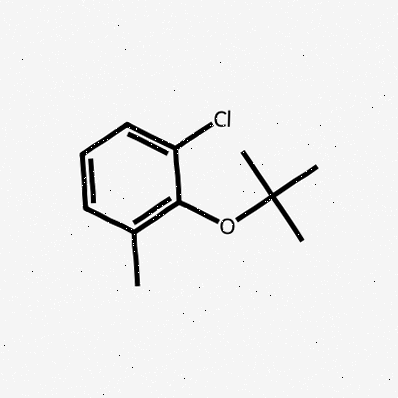 Cc1cccc(Cl)c1OC(C)(C)C